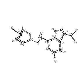 Cc1ccc(CNc2nc(F)nc3c2ncn3C(C)C)cn1